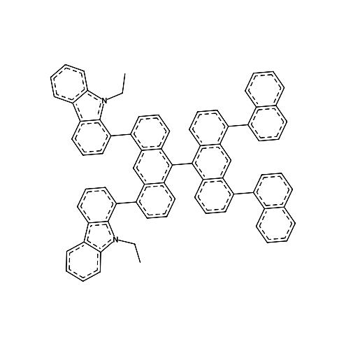 CCn1c2ccccc2c2cccc(-c3cccc4c(-c5c6cccc(-c7cccc8ccccc78)c6cc6c(-c7cccc8ccccc78)cccc56)c5cccc(-c6cccc7c8ccccc8n(CC)c67)c5cc34)c21